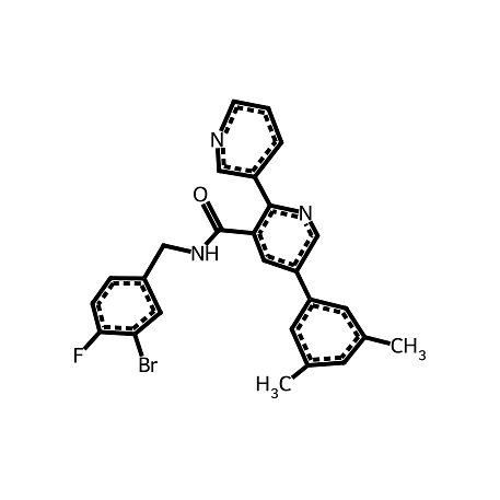 Cc1cc(C)cc(-c2cnc(-c3cccnc3)c(C(=O)NCc3ccc(F)c(Br)c3)c2)c1